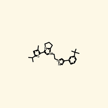 Cc1cc(C(C)C)sc1-c1c[n+](CCn2cc(-c3cccc(C(C)(C)C)c3)cn2)c2n1CCC2